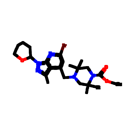 CCC1(C)CN(Cc2cc(Br)nc3c2c(C)nn3C2CCCCO2)C(C)(C)CN1C(=O)OC(C)(C)C